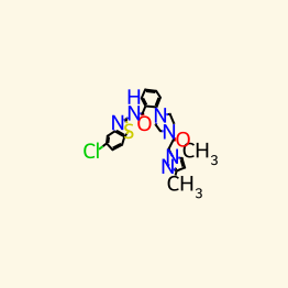 Cc1cc(C)n(CC(=O)N2CCN(c3ccccc3C(=O)Nc3nc4cc(Cl)ccc4s3)CC2)n1